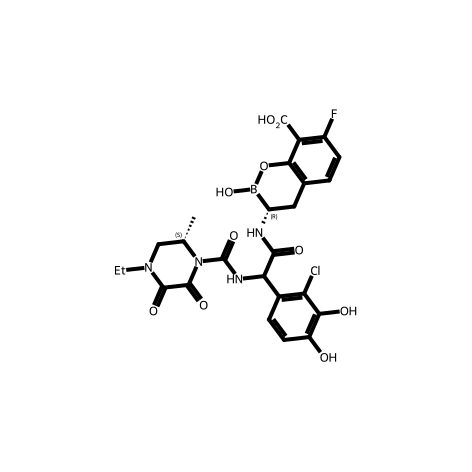 CCN1C[C@H](C)N(C(=O)NC(C(=O)N[C@H]2Cc3ccc(F)c(C(=O)O)c3OB2O)c2ccc(O)c(O)c2Cl)C(=O)C1=O